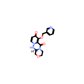 O=C1c2c(OCc3cccnc3)c(=O)ccn2N[C@@H]2COCCN12